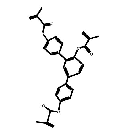 C=C(C)C(=O)Oc1ccc(-c2cc(-c3ccc(OC(O)C(=C)C)cc3)ccc2OC(=O)C(=C)C)cc1